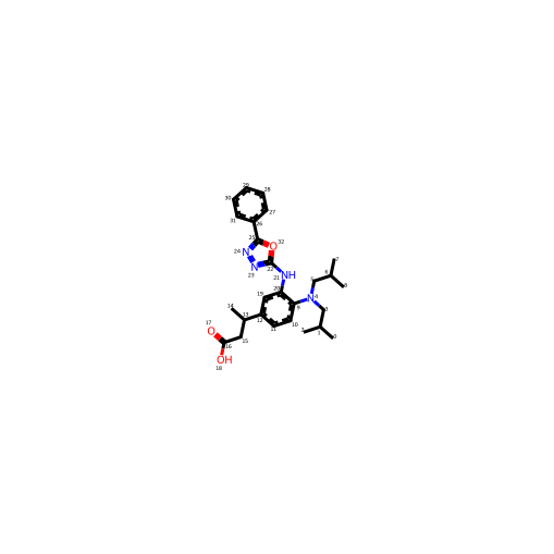 CC(C)CN(CC(C)C)c1ccc(C(C)CC(=O)O)cc1Nc1nnc(-c2ccccc2)o1